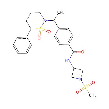 CC(c1ccc(C(=O)NC2CN(S(C)(=O)=O)C2)cc1)N1CCCC(c2ccccc2)S1(=O)=O